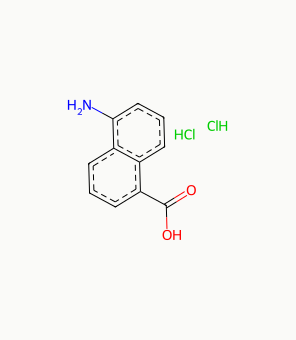 Cl.Cl.Nc1cccc2c(C(=O)O)cccc12